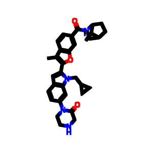 Cc1c(-c2cc3ccc(N4CCNCC4=O)cc3n2CC2CC2)oc2cc(C(=O)N3CC4CCC3[C@@H]4C)ccc12